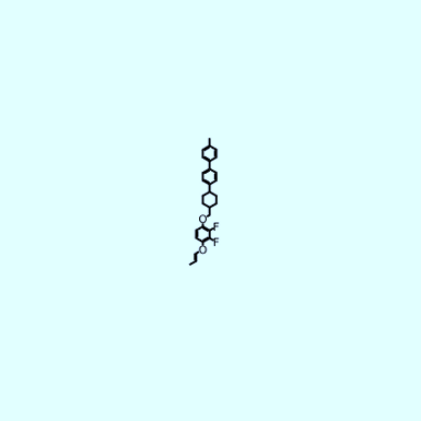 C/C=C/Oc1ccc(OCC2CCC(c3ccc(-c4ccc(C)cc4)cc3)CC2)c(F)c1F